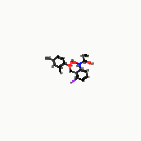 CCc1ccc(OCc2c(I)cccc2N(O)C(=O)SC)c(C)c1